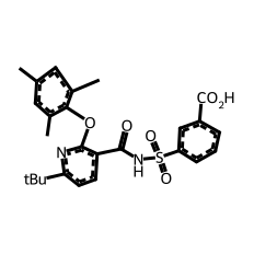 Cc1cc(C)c(Oc2nc(C(C)(C)C)ccc2C(=O)NS(=O)(=O)c2cccc(C(=O)O)c2)c(C)c1